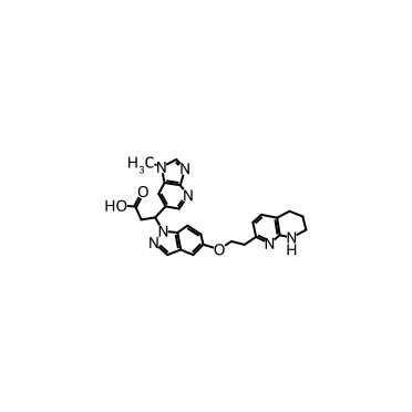 Cn1cnc2ncc(C(CC(=O)O)n3ncc4cc(OCCc5ccc6c(n5)NCCC6)ccc43)cc21